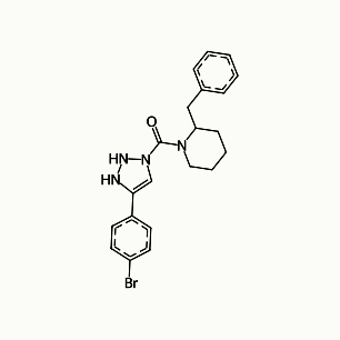 O=C(N1C=C(c2ccc(Br)cc2)NN1)N1CCCCC1Cc1ccccc1